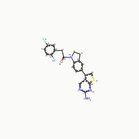 Nc1ncc2c(-c3ccc4c(c3)CCN4C(=O)Cc3cc(F)ccc3F)csc2n1